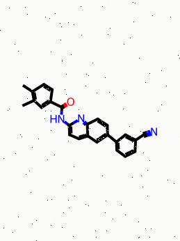 Cc1ccc(C(=O)Nc2ccc3cc(-c4cccc(C#N)c4)ccc3n2)cc1C